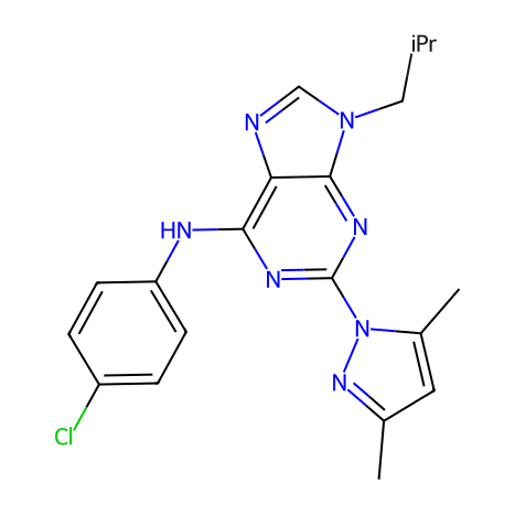 Cc1cc(C)n(-c2nc(Nc3ccc(Cl)cc3)c3ncn(CC(C)C)c3n2)n1